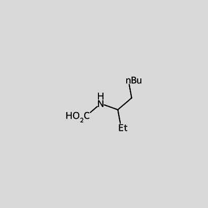 CCCCCC(CC)NC(=O)O